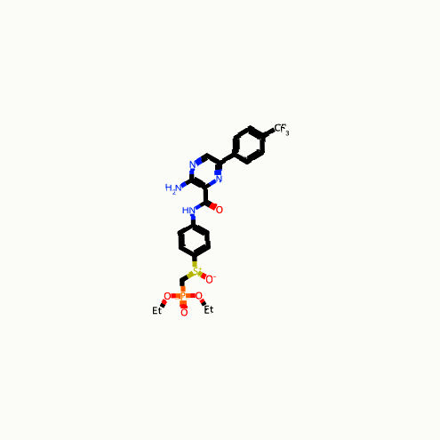 CCOP(=O)(C[S+]([O-])c1ccc(NC(=O)c2nc(-c3ccc(C(F)(F)F)cc3)cnc2N)cc1)OCC